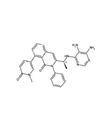 C[C@H](Nc1ncnc(N)c1N)c1cc2cccc(-c3ccc(=O)n(C)c3)c2c(=O)n1-c1ccccc1